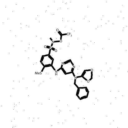 CSc1ccc(S(=O)(=O)N(C)OC(=O)C(F)(F)F)cc1Nc1cc(N(Cc2ccccc2)C2=COCO2)ncn1